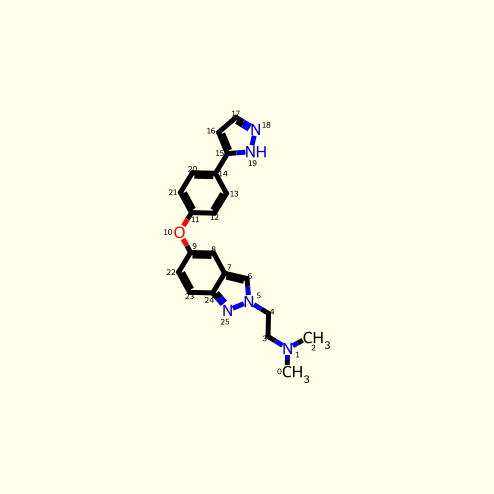 CN(C)CCn1cc2cc(Oc3ccc(-c4ccn[nH]4)cc3)ccc2n1